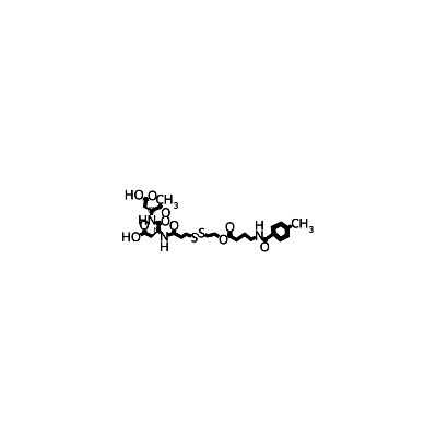 CC(=O)[C@H](CC(=O)O)NC(=O)[C@H](CC(=O)O)NC(=O)CCSSCCOC(=O)CCCNC(=O)c1ccc(C)cc1